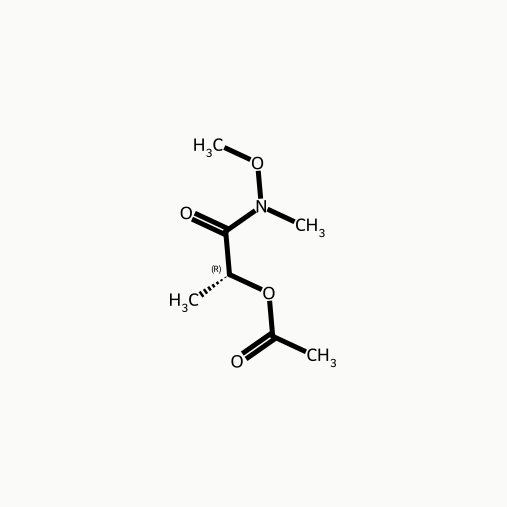 CON(C)C(=O)[C@@H](C)OC(C)=O